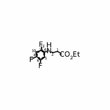 CCOC(=O)CCNc1cc(F)c(F)cc1F